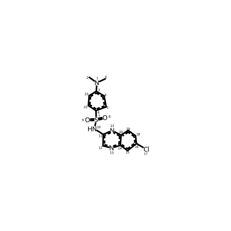 CN(C)c1ccc(S(=O)(=O)Nc2cnc3cc(Cl)ccc3n2)cc1